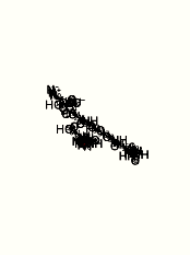 COc1cc(C(C)N(CCCN=[N+]=[N-])C(=O)O)c([N+](=O)[O-])cc1OCCCC(=O)NCCOCCOCCOCCNC(=O)CCCC[C@H]1SC[C@H]2NC(=O)N[C@H]21.O=C(O)CCCC[C@@H]1SC[C@@H]2NC(=O)N[C@@H]21.[N-]=[N+]=[N-]